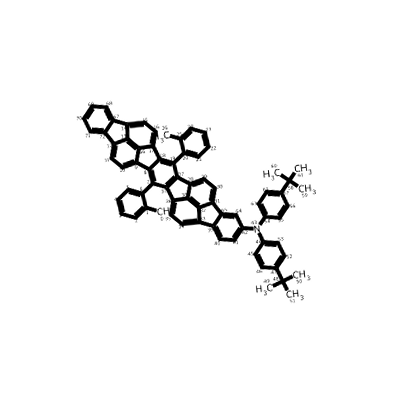 Cc1ccccc1-c1c2c3ccc4c5c(ccc(c2c(-c2ccccc2C)c2c6ccc7c8c(ccc(c12)c86)-c1ccc(N(c2ccc(C(C)(C)C)cc2)c2ccc(C(C)(C)C)cc2)cc1-7)c53)-c1ccccc1-4